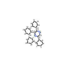 c1ccc(-c2ccccc2-c2cnc(-c3ccccc3)c(-c3ccccc3)n2)cc1